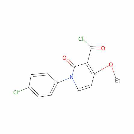 CCOc1ccn(-c2ccc(Cl)cc2)c(=O)c1C(=O)Cl